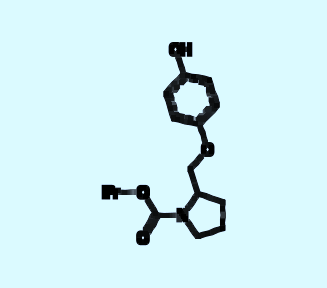 CC(C)OC(=O)N1CCCC1COc1ccc(O)cc1